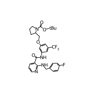 CC(C)(C)OC(=O)N1CCCC1COc1cc(NC(=O)c2cccnc2NCc2ccc(F)cc2)cc(C(F)(F)F)c1